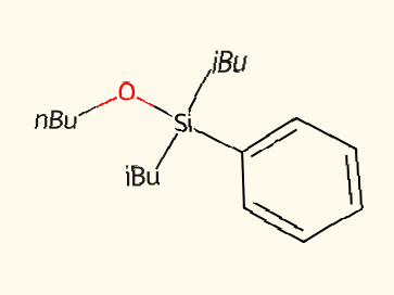 CCCCO[Si](c1ccccc1)(C(C)CC)C(C)CC